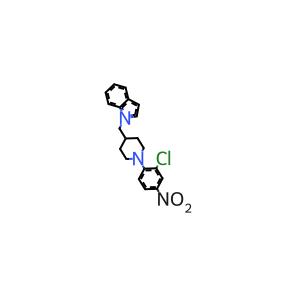 O=[N+]([O-])c1ccc(N2CCC(Cn3ccc4ccccc43)CC2)c(Cl)c1